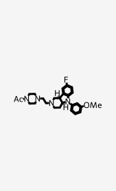 COc1cccc(N2c3ccc(F)cc3[C@@H]3CN(CCN4CCN(C(C)=O)CC4)CC[C@H]32)c1